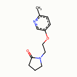 Cc1ccc(OCCN2CCCC2=O)cn1